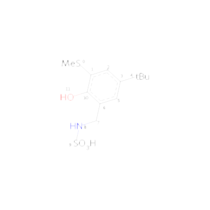 CSc1cc(C(C)(C)C)cc(CNS(=O)(=O)O)c1O